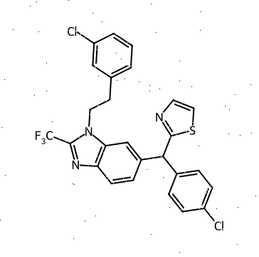 FC(F)(F)c1nc2ccc(C(c3ccc(Cl)cc3)c3nccs3)cc2n1CCc1cccc(Cl)c1